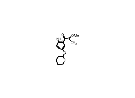 CON(C)C(=O)c1cc(OC2CCCCO2)ccc1N